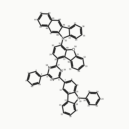 c1ccc(-c2nc(-c3ccc4c(c3)c3ccccc3n4-c3ccccc3)nc(-c3ccc(-n4c5ccccc5c5cc6ccccc6cc54)c4oc5ccccc5c34)n2)cc1